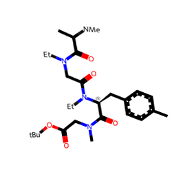 CCN(CC(=O)N(CC)[C@@H](Cc1ccc(C)cc1)C(=O)N(C)CC(=O)OC(C)(C)C)C(=O)C(C)NC